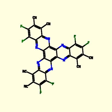 N#Cc1c(F)c(F)c2nc3c4nc5c(C#N)c(C#N)c(F)c(F)c5nc4c4nc5c(C#N)c(C#N)c(F)c(F)c5nc4c3nc2c1C#N